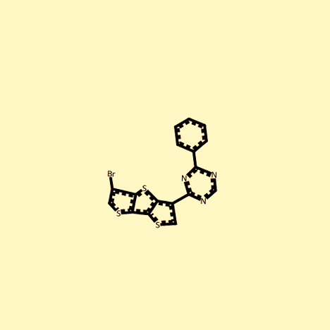 Brc1csc2c1sc1c(-c3ncnc(-c4ccccc4)n3)csc12